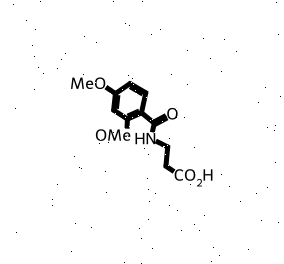 COc1ccc(C(=O)NCCC(=O)O)c(OC)c1